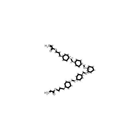 C=CC(=O)OCCC[C@H]1CC[C@H](CC[C@H]2CC[C@H](CO[C@@H]3CCCC[C@H]3OC[C@H]3CC[C@H](CC[C@H]4CC[C@H](CCCOC(=O)C=C)CC4)CC3)CC2)CC1